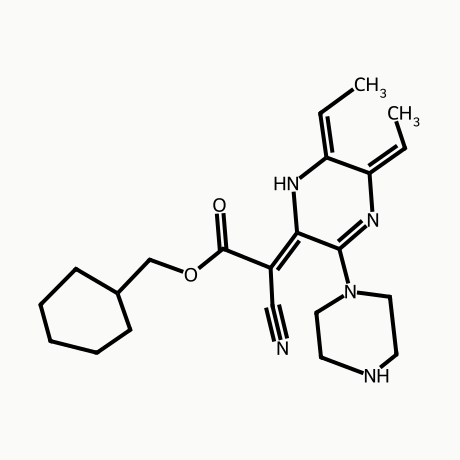 C/C=C1N=C(N2CCNCC2)/C(=C(\C#N)C(=O)OCC2CCCCC2)NC/1=C/C